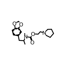 CC(Cc1ccc2c(c1)OCO2)N(C)C(=O)OCCN1CCCCC1